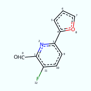 O=Cc1nc(-c2ccco2)ccc1F